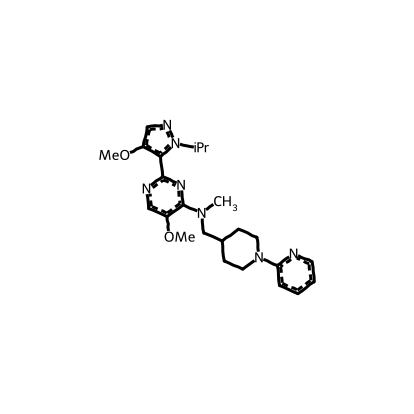 COc1cnc(-c2c(OC)cnn2C(C)C)nc1N(C)CC1CCN(c2ccccn2)CC1